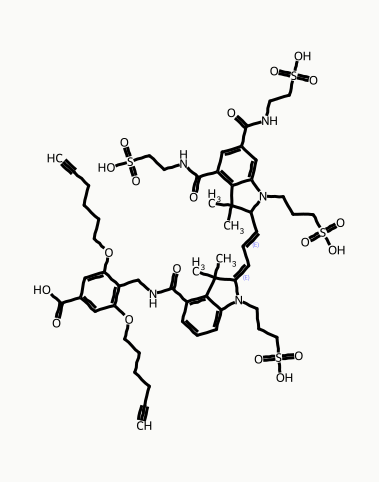 C#CCCCCOc1cc(C(=O)O)cc(OCCCCC#C)c1CNC(=O)c1cccc2c1C(C)(C)/C(=C\C=C\C1N(CCCS(=O)(=O)O)c3cc(C(=O)NCCS(=O)(=O)O)cc(C(=O)NCCS(=O)(=O)O)c3C1(C)C)N2CCCS(=O)(=O)O